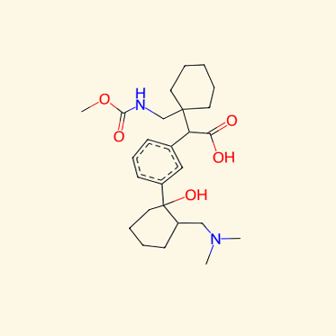 COC(=O)NCC1(C(C(=O)O)c2cccc(C3(O)CCCCC3CN(C)C)c2)CCCCC1